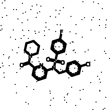 O=C(c1cccc(N(Cc2ccc(Cl)cc2)S(=O)(=O)c2ccc(F)cc2)n1)N1CCCCC1